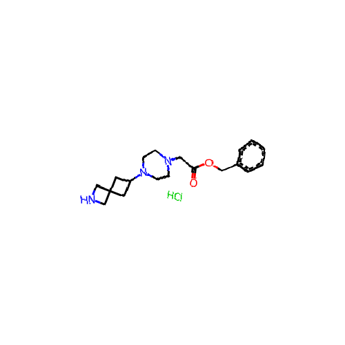 Cl.O=C(CN1CCN(C2CC3(CNC3)C2)CC1)OCc1ccccc1